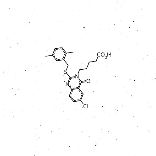 Cc1ccc(C)c(CSc2nc3ccc(Cl)cc3c(=O)n2CCCCC(=O)O)c1